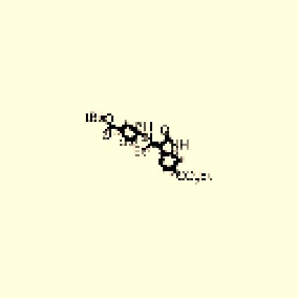 CCOC(=O)c1ccc2c(c1)NC(=O)/C2=C(/CC)Nc1ccc(C(=O)OC(C)(C)C)cc1